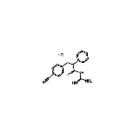 Cl.N#Cc1ccc(CC(C(=O)NC(=N)N)c2ccccc2)cc1